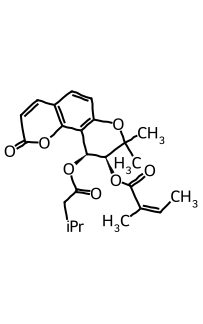 C/C=C(/C)C(=O)O[C@H]1[C@@H](OC(=O)CC(C)C)c2c(ccc3ccc(=O)oc23)OC1(C)C